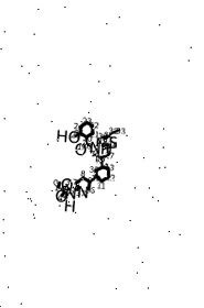 C=CS(=O)(=O)Nc1ccc(-c2cccc([C@@H](CNC(=O)c3ccccc3O)Cc3ncc(CC)s3)c2)cn1